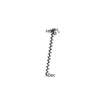 CCCCCCCCCCCCCCCCCCCCCCCCCCCCCCCCCCCC(=O)N(N)O